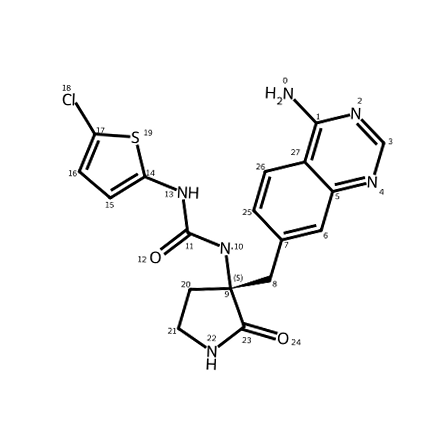 Nc1ncnc2cc(C[C@]3([N]C(=O)Nc4ccc(Cl)s4)CCNC3=O)ccc12